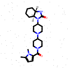 Cc1ccc(C(=O)N2CCC(N3CCC(N4C(=O)N[C@H]5CCCC[C@@H]54)CC3)CC2)n1C